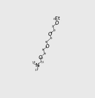 CCOCCOCCOCCOCN(C)C